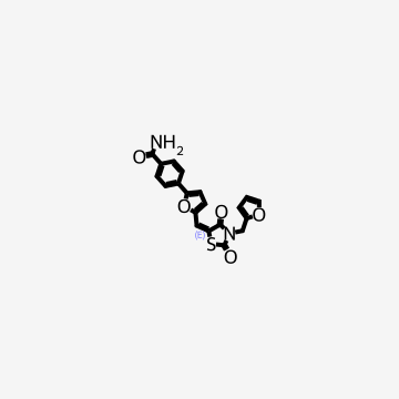 NC(=O)c1ccc(-c2ccc(/C=C3/SC(=O)N(Cc4ccco4)C3=O)o2)cc1